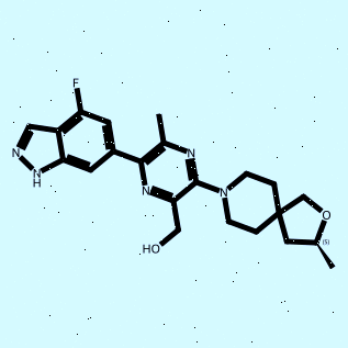 Cc1nc(N2CCC3(CC2)CO[C@@H](C)C3)c(CO)nc1-c1cc(F)c2cn[nH]c2c1